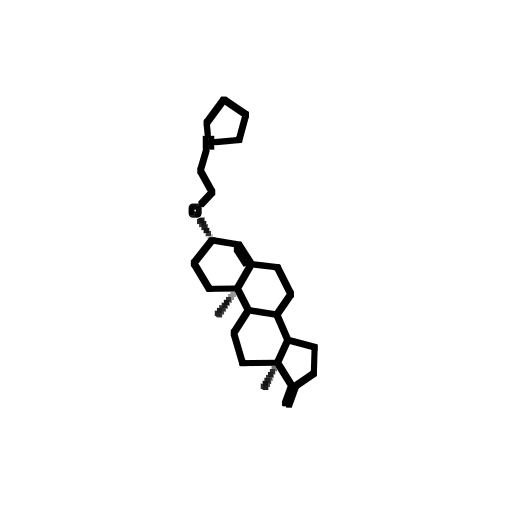 C=C1CCC2C3CCC4=C[C@@H](OCCN5CCCC5)CC[C@]4(C)C3CC[C@]12C